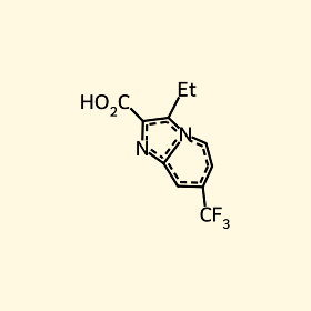 CCc1c(C(=O)O)nc2cc(C(F)(F)F)ccn12